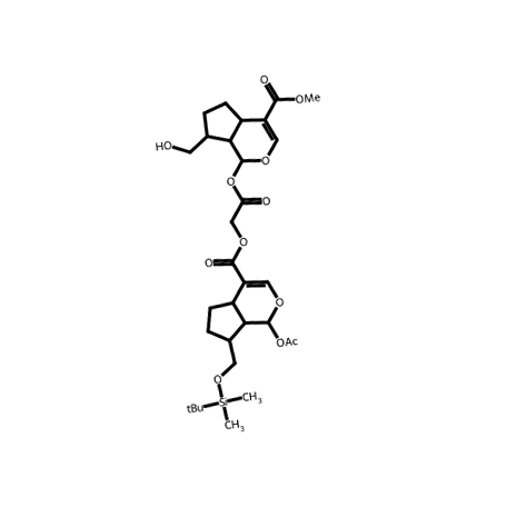 COC(=O)C1=COC(OC(=O)COC(=O)C2=COC(OC(C)=O)C3C(CO[Si](C)(C)C(C)(C)C)CCC23)C2C(CO)CCC12